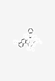 CC1CN(C(=N)Nc2ccccc2)c2ccc3c(Br)cccc3c21.FC(F)(F)COCC(F)(F)F